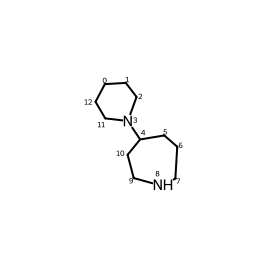 C1CCN(C2CCCNCC2)CC1